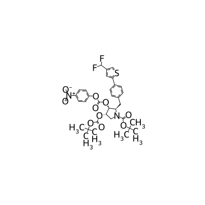 CC(C)(C)OC(=O)O[C@H]1CN(C(=O)OC(C)(C)C)[C@H](Cc2ccc(-c3cc(C(F)F)cs3)cc2)[C@@H]1OC(=O)Oc1ccc([N+](=O)[O-])cc1